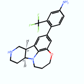 Nc1ccc(-c2cc3c4c(c2)[C@@H]2CNCC[C@@H]2N4CCCO3)c(C(F)(F)F)c1